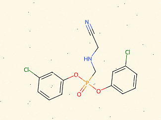 N#CCNCP(=O)(Oc1cccc(Cl)c1)Oc1cccc(Cl)c1